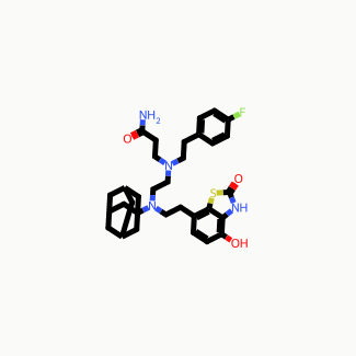 NC(=O)CCN(CCc1ccc(F)cc1)CCN(CCc1ccc(O)c2[nH]c(=O)sc12)C12CC3CC(CC(C3)C1)C2